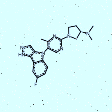 Cc1nc(N2CC[C@@H](N(C)C)C2)ncc1-n1c2ccc(F)cc2c2[nH]ncc21